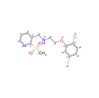 CS(=O)(=O)c1ncccc1CNCCOc1cc(F)ccc1Cl